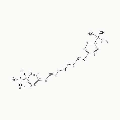 CC(C)(O)c1ccc(CSCCSCCSCc2ccc(C(C)(C)O)cc2)cc1